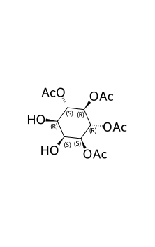 CC(=O)O[C@H]1[C@H](OC(C)=O)[C@@H](OC(C)=O)[C@@H](O)[C@@H](O)[C@@H]1OC(C)=O